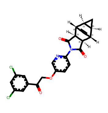 O=C(COc1ccc(N2C(=O)[C@@H]3[C@@H]4C=C[C@@H]([C@H]5C[C@@H]45)[C@@H]3C2=O)nc1)c1cc(Cl)cc(Cl)c1